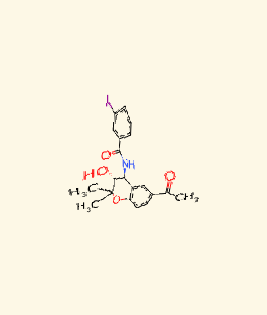 CC(=O)c1ccc2c(c1)[C@H](NC(=O)c1cccc(I)c1)[C@@H](O)C(C)(C)O2